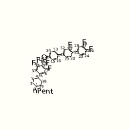 CCCCCC1CCC(c2cc(F)c(C(F)(F)Oc3ccc(-c4ccc(-c5ccc(F)c(F)c5)c(F)c4)cc3)c(F)c2)CC1